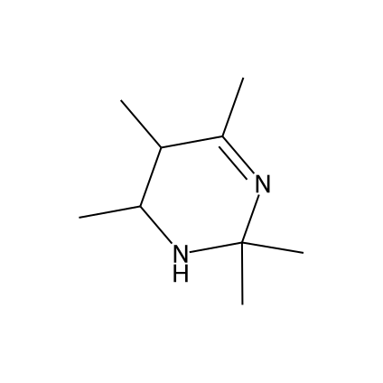 CC1=NC(C)(C)NC(C)C1C